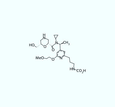 COCCOc1cc([C@H](C)N(C(=O)[C@H]2CNC[C@@H](CO)O2)C2CC2)cc(CCCNC(=O)O)n1